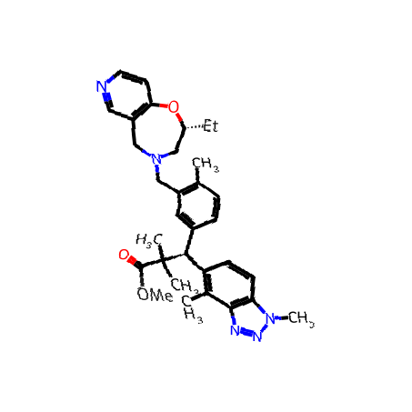 CC[C@@H]1CN(Cc2cc([C@@H](c3ccc4c(nnn4C)c3C)C(C)(C)C(=O)OC)ccc2C)Cc2cnccc2O1